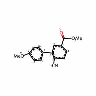 COC(=O)c1ccc(C#N)c(-c2ccc(OC)cc2)c1